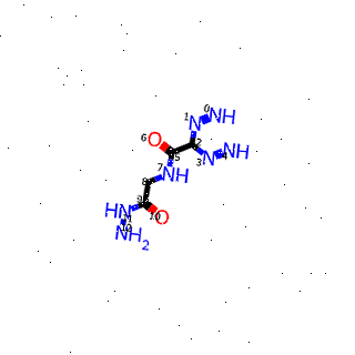 N=NC(N=N)C(=O)NCC(=O)NN